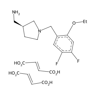 CCOc1cc(F)c(F)cc1CN1CC[C@@H](CN)C1.O=C(O)/C=C/C(=O)O.O=C(O)/C=C/C(=O)O